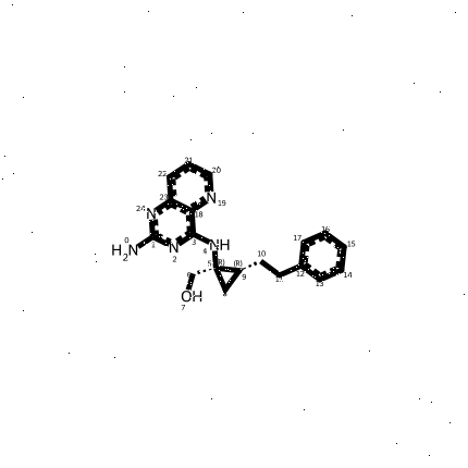 Nc1nc(N[C@]2(CO)C[C@H]2CCc2ccccc2)c2ncccc2n1